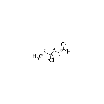 [2H]C(Cl)=CCC(Cl)CC